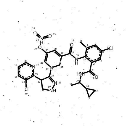 Cc1cc(Cl)cc(C(=O)NC(C)C2CC2)c1NC(=O)C1=CC(O[SH](=O)=O)=CN(C2=NNCC2c2ncccc2Cl)C1